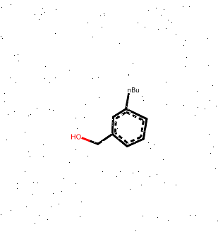 CCCCc1cccc(CO)c1